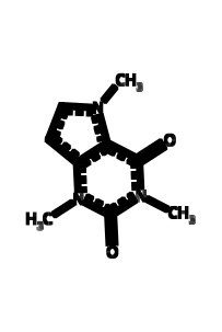 Cn1c(=O)c2c(ccn2C)n(C)c1=O